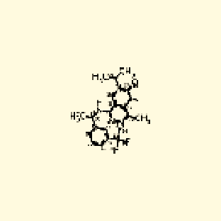 Cc1nnc(N[C@H](C)c2cccc(C(F)(F)F)c2)c2cn(C(C)C)c(=O)cc12